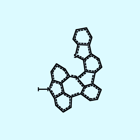 In1c2cccc3c4cccc5c6ccc7c8ccccc8sc7c6n(c6cccc1c6c32)c45